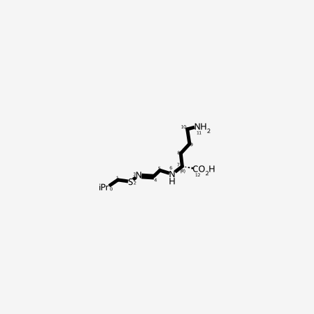 CC(C)CSN=CCN[C@H](CCCN)C(=O)O